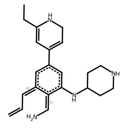 C=C/C=c1/cc(C2=CCNC(CC)=C2)cc(NC2CCNCC2)/c1=C/N